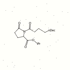 CCCCCCCCCCCCCC(=O)N1C(=O)CCC1C(=O)OC(C)C